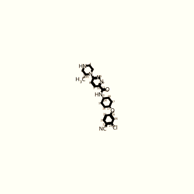 C[C@@H]1CNCCN1c1ccc(C(=O)N[C@H]2CC[C@H](Oc3ccc(C#N)c(Cl)c3)CC2)nn1